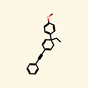 CCC1(c2ccc(OC)cc2)C=CC(C#Cc2ccccc2)=CC1